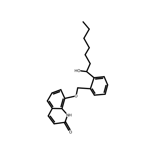 CCCCCCC(O)c1ccccc1COc1cccc2ccc(=O)[nH]c12